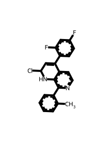 Cc1ccccc1-c1nccc2c1NC(Cl)C=C2c1ccc(F)cc1F